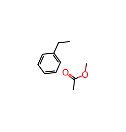 CCc1ccccc1.COC(C)=O